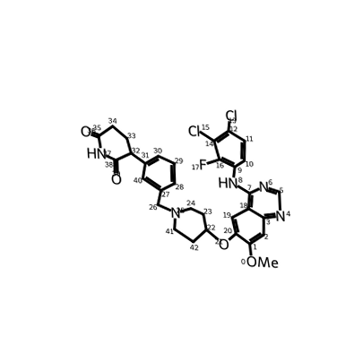 COc1cc2ncnc(Nc3ccc(Cl)c(Cl)c3F)c2cc1OC1CCN(Cc2cccc(C3CCC(=O)NC3=O)c2)CC1